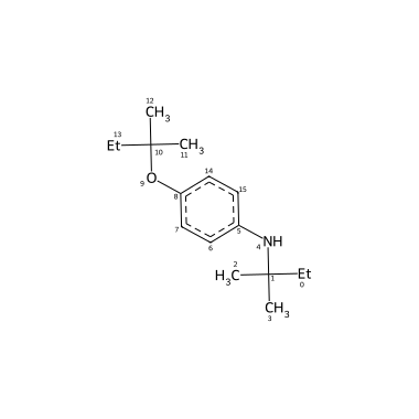 CCC(C)(C)Nc1ccc(OC(C)(C)CC)cc1